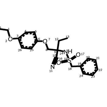 CCOc1ccc(OCC(C#N)(CC)NS(=O)(=O)Cc2ccccc2)cc1